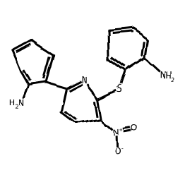 Nc1ccccc1Sc1nc(-c2ccccc2N)ccc1[N+](=O)[O-]